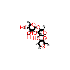 C[C@H]1O[C@@H](O[C@H]2[C@@H](O)CC(O[C@H]3[C@@H](O)CCO[C@@H]3C)O[C@@H]2C)C[C@H](O)[C@@H]1O